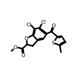 COC(=O)C1Cc2cc(C(=O)c3ccc(C)s3)c(Cl)c(Cl)c2O1